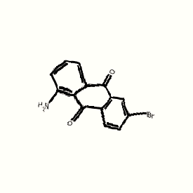 Nc1cccc2c1C(=O)c1ccc(Br)cc1C2=O